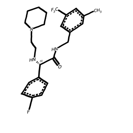 Cc1cc(CNC(=O)[C@@H](NCCN2CCCCC2)c2ccc(F)cc2)cc(C(F)(F)F)c1